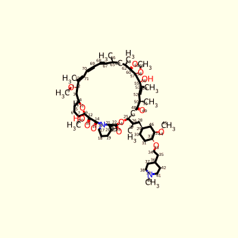 CO[C@H]1C[C@@H]2CC[C@@H](C)[C@@](O)(O2)C(=O)C(=O)N2CCCC[C@H]2C(=O)O[C@H]([C@H](C)C[C@@H]2CC[C@@H](OCCC3CCN(C)CC3)[C@H](OC)C2)CC(=O)[C@H](C)/C=C(\C)[C@@H](O)[C@@H](OC)C(=O)[C@H](C)C[C@H](C)/C=C/C=C/C=C/1C